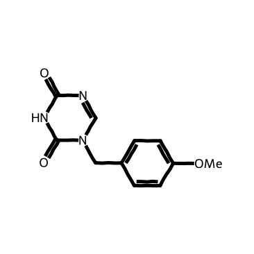 COc1ccc(Cn2cnc(=O)[nH]c2=O)cc1